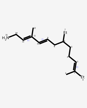 CC/C(C)=C/CCC(CC)C/C=C/C(C)=C/CN